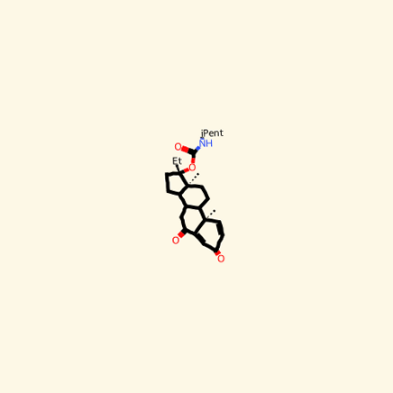 CCCC(C)NC(=O)O[C@@]1(CC)CCC2C3CC(=O)C4=CC(=O)C=C[C@]4(C)C3CC[C@@]21C